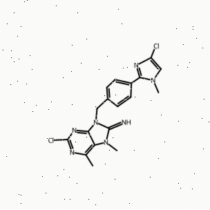 Cc1nc(Cl)nc2c1n(C)c(=N)n2Cc1ccc(-c2nc(Cl)cn2C)cc1